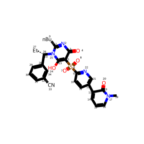 CCCCc1nc(=O)c(S(=O)(=O)c2ccc(-c3cccn(C)c3=O)cn2)c(O)n1[C@@H](CC)c1cccc(C#N)c1